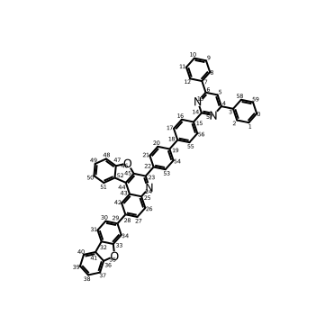 c1ccc(-c2cc(-c3ccccc3)nc(-c3ccc(-c4ccc(-c5nc6ccc(-c7ccc8c(c7)oc7ccccc78)cc6c6c5oc5ccccc56)cc4)cc3)n2)cc1